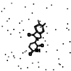 Cc1cc2c(cc1C)C(=O)N(C1CCC(=O)NC1=O)C2